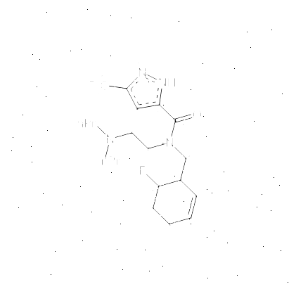 CCCN(CCC)CCN(CC1C=CCCC1F)C(=O)c1cc(C(F)(F)F)n[nH]1